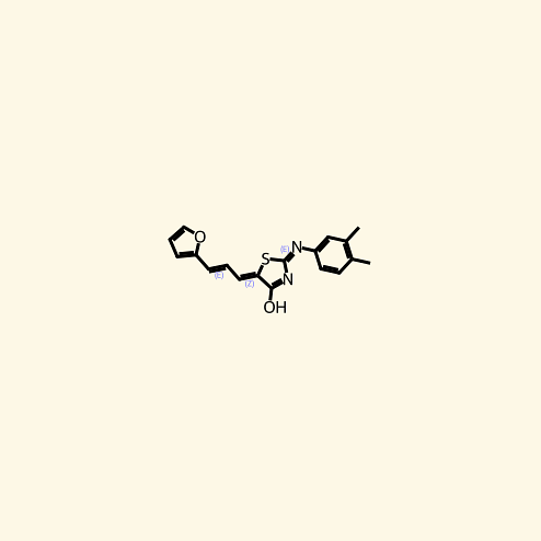 Cc1ccc(/N=C2N=C(O)/C(=C/C=C/c3ccco3)S\2)cc1C